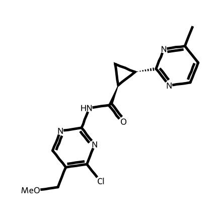 COCc1cnc(NC(=O)[C@H]2C[C@@H]2c2nccc(C)n2)nc1Cl